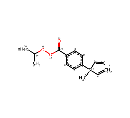 C=C[Si](C)(C=C)c1ccc(C(=O)OO[C](C)CCCCCC)cc1